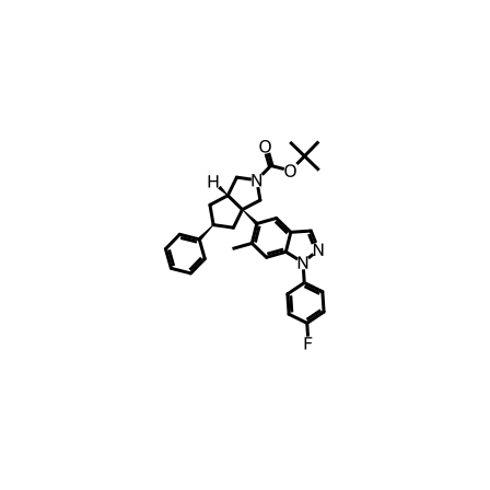 Cc1cc2c(cnn2-c2ccc(F)cc2)cc1[C@@]12C[C@@H](c3ccccc3)C[C@@H]1CN(C(=O)OC(C)(C)C)C2